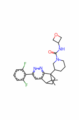 CC1(C)C2CCC1(C1CCCN(C(=O)NC3COC3)C1)c1nnc(-c3c(F)cccc3F)cc12